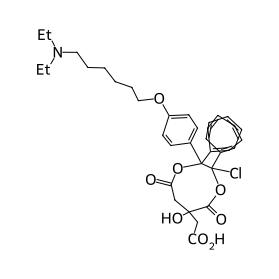 CCN(CC)CCCCCCOc1ccc(C2(c3ccccc3)OC(=O)CC(O)(CC(=O)O)C(=O)OC2(Cl)c2ccccc2)cc1